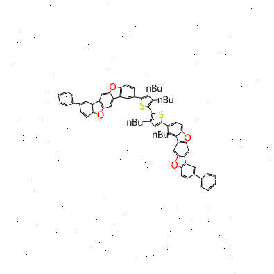 CCCCc1c(-c2ccc3oc4cc5c(cc4c3c2)OC2C=CC(c3ccccc3)=CC52)sc(-c2sc(-c3ccc4oc5cc6c(cc5c4c3)oc3ccc(-c4ccccc4)cc36)c(CCCC)c2CCCC)c1CCCC